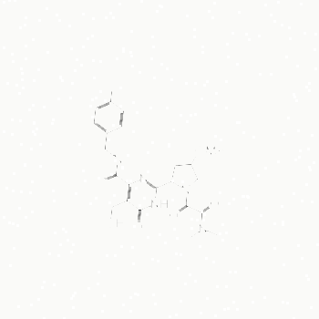 COC1CC(c2nc(C(=O)NCc3ccc(F)cc3)c(CO)c(=O)[nH]2)N(C(=O)C(=O)N(C)C)C1